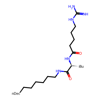 CCCCCCCCCCCCCCCCNC(=O)[C@@H](NC(=O)CCCCNC(=N)N)[C@@H](C)CC